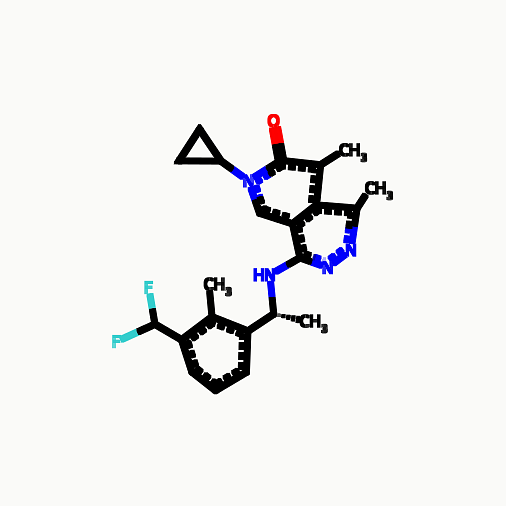 Cc1c(C(F)F)cccc1[C@@H](C)Nc1nnc(C)c2c(C)c(=O)n(C3CC3)cc12